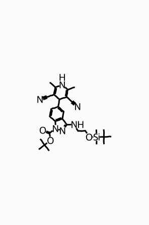 CC1=C(C#N)C(c2ccc3c(c2)c(NCCO[Si](C)(C)C(C)(C)C)nn3C(=O)OC(C)(C)C)C(C#N)=C(C)N1